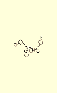 O=C(CCc1ccc(F)cc1)N1CCC(C(=O)NCCc2cccc(Cl)c2)(c2ccccc2)CC1